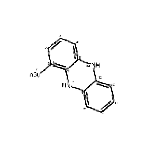 CCCCc1cccc2c1Nc1ccccc1N2